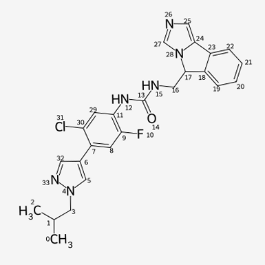 CC(C)Cn1cc(-c2cc(F)c(NC(=O)NCC3c4ccccc4-c4cncn43)cc2Cl)cn1